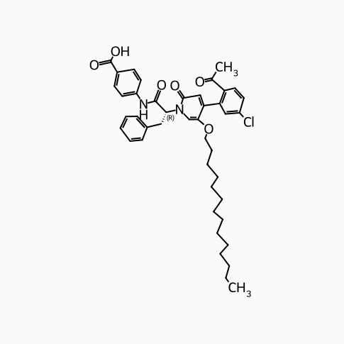 CCCCCCCCCCCCCCOc1cn([C@H](Cc2ccccc2)C(=O)Nc2ccc(C(=O)O)cc2)c(=O)cc1-c1cc(Cl)ccc1C(C)=O